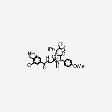 COc1ccc([C@H](NC(=O)CNC(=O)c2ccc(CN)c(Cl)c2)C(=O)N[C@H](C(=O)C(F)(F)F)C(C)C)cc1